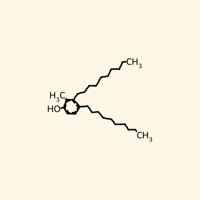 CCCCCCCCCCc1ccc(O)c(C)c1CCCCCCCCCC